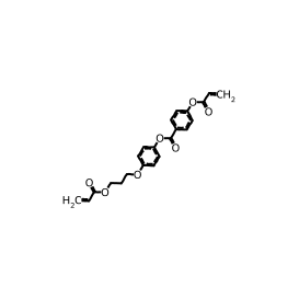 C=CC(=O)OCCCOc1ccc(OC(=O)c2ccc(OC(=O)C=C)cc2)cc1